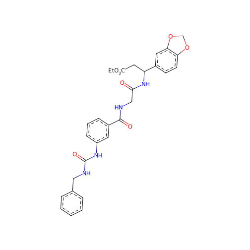 CCOC(=O)CC(NC(=O)CNC(=O)c1cccc(NC(=O)NCc2ccccc2)c1)c1ccc2c(c1)OCO2